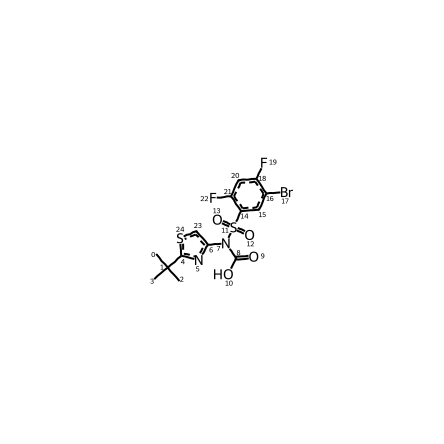 CC(C)(C)c1nc(N(C(=O)O)S(=O)(=O)c2cc(Br)c(F)cc2F)cs1